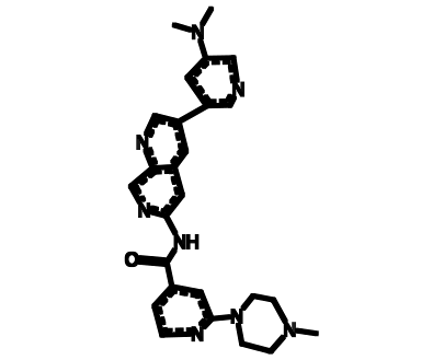 CN1CCN(c2cc(C(=O)Nc3cc4cc(-c5cncc(N(C)C)c5)cnc4cn3)ccn2)CC1